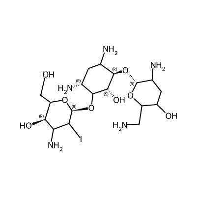 NCC1O[C@H](O[C@@H]2C(N)C[C@@H](N)C(O[C@@H]3OC(CO)[C@H](O)C(N)C3I)[C@H]2O)C(N)CC1O